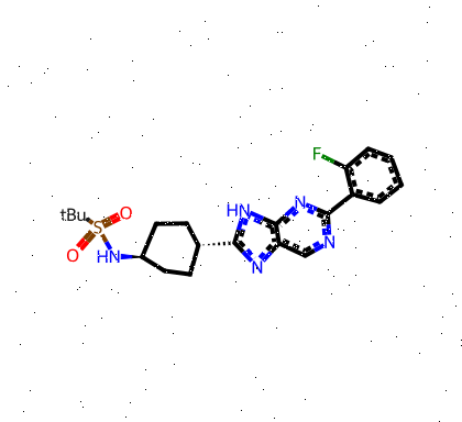 CC(C)(C)S(=O)(=O)N[C@H]1CC[C@H](c2nc3cnc(-c4ccccc4F)nc3[nH]2)CC1